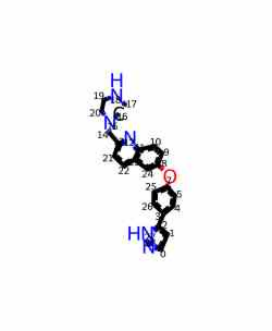 c1cc(-c2ccc(Oc3ccc4nc(CN5CCNCC5)ccc4c3)cc2)[nH]n1